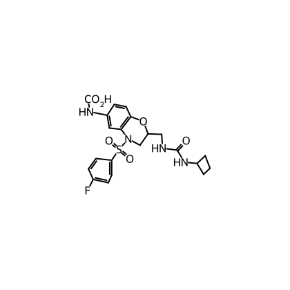 O=C(O)Nc1ccc2c(c1)N(S(=O)(=O)c1ccc(F)cc1)CC(CNC(=O)NC1CCC1)O2